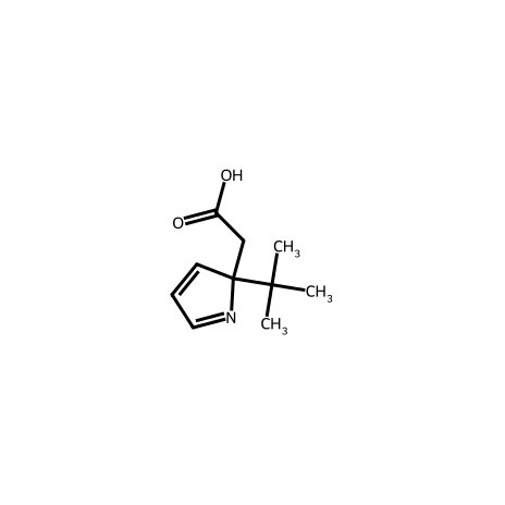 CC(C)(C)C1(CC(=O)O)C=CC=N1